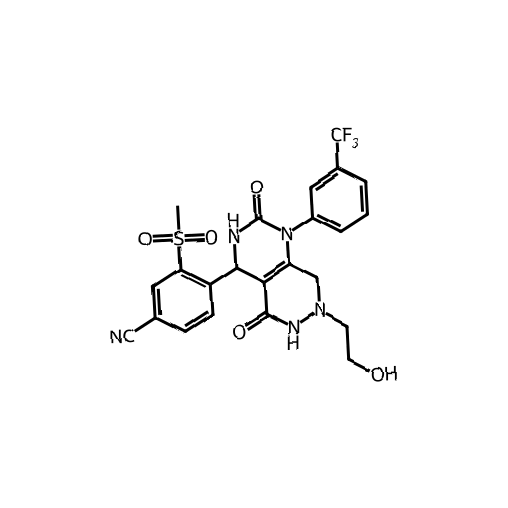 CS(=O)(=O)c1cc(C#N)ccc1C1NC(=O)N(c2cccc(C(F)(F)F)c2)C2=C1C(=O)NN(CCO)C2